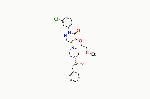 CCOCCOc1c(N2CCN([S+]([O-])Cc3ccccc3)CC2)cnn(-c2cccc(Cl)c2)c1=O